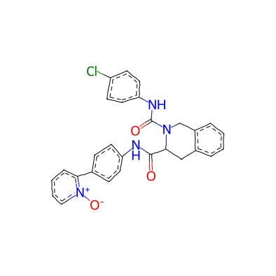 O=C(Nc1ccc(-c2cccc[n+]2[O-])cc1)C1Cc2ccccc2CN1C(=O)Nc1ccc(Cl)cc1